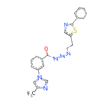 O=C(N=[N+]=NCCc1cnc(-c2ccccc2)s1)c1cccc(-n2cnc(C(F)(F)F)c2)c1